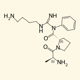 C[C@H](N)C(=O)N1CCC[C@H]1C(=O)N(C(=N)NCCCCN)c1ccccc1